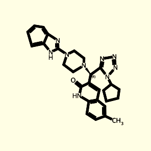 Cc1ccc2[nH]c(=O)c([C@H](c3nnnn3C3CCCC3)N3CCN(c4nc5ccccc5[nH]4)CC3)cc2c1